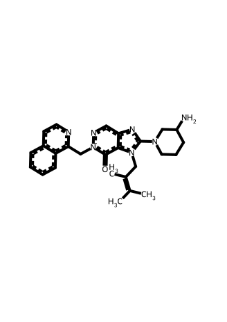 CC(C)=C(C)Cn1c(N2CCCC(N)C2)nc2cnn(Cc3nccc4ccccc34)c(=O)c21